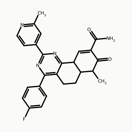 Cc1cc(-c2nc(-c3ccc(F)cc3)c3c(n2)C2C=C(C(N)=O)C(=O)C(C)C2CC3)ccn1